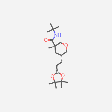 CC(C)(C)NC(=O)[C@]1(C)COC[C@H](CCB2OC(C)(C)C(C)(C)O2)C1